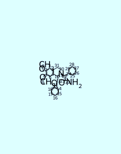 COc1cc2c(cc1OC)C(COc1ccccc1)N(C(C(N)=O)c1ccccc1)CC2